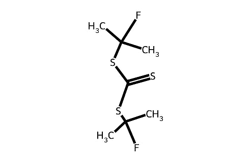 CC(C)(F)SC(=S)SC(C)(C)F